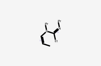 C/C=C\N(/C(CC)=N\C(C)C)C(C)C